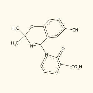 CC1(C)N=C(n2cccc(C(=O)O)c2=O)c2cc(C#N)ccc2O1